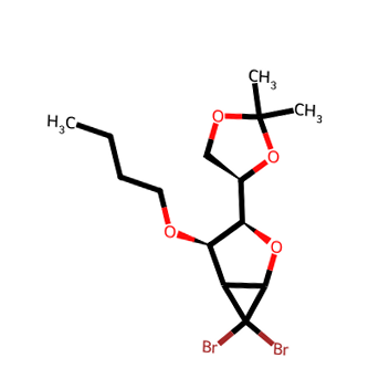 CCCCO[C@@H]1C2C(O[C@@H]1[C@H]1COC(C)(C)O1)C2(Br)Br